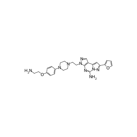 NCCOc1ccc(N2CCN(CCn3ncc4c3nc(N)n3nc(-c5ccco5)cc43)CC2)cc1